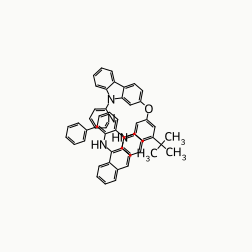 CC(C)(C)c1cc(Nc2ccc3ccccc3c2Nc2c(-c3ccccc3)cccc2-c2ccccc2)cc(Oc2ccc3c4ccccc4n(-c4ccccn4)c3c2)c1